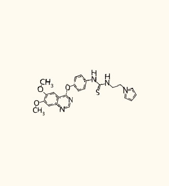 COc1cc2ncnc(Oc3ccc(NC(=S)NCCn4cccc4)cc3)c2cc1OC